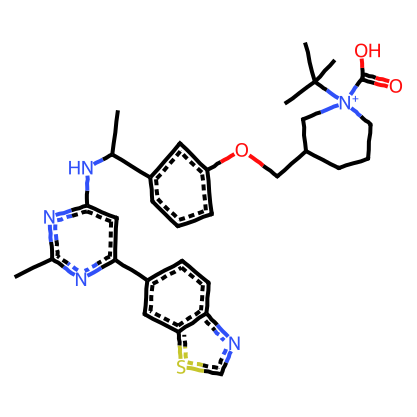 Cc1nc(NC(C)c2cccc(OCC3CCC[N+](C(=O)O)(C(C)(C)C)C3)c2)cc(-c2ccc3ncsc3c2)n1